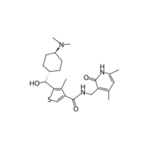 Cc1cc(C)c(CNC(=O)c2csc(C(O)[C@H]3CC[C@H](N(C)C)CC3)c2C)c(=O)[nH]1